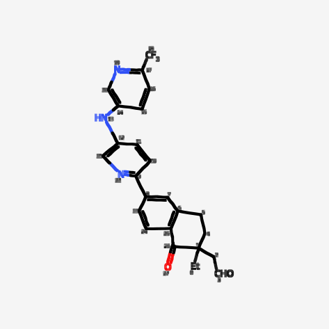 CCC1(CC=O)CCc2cc(-c3ccc(Nc4ccc(C(F)(F)F)nc4)cn3)ccc2C1=O